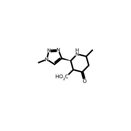 CC1CC(=O)C(C(=O)O)[C@@H](c2cn(C)nn2)N1